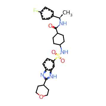 C[C@@H](NC(=O)C1CCC(NS(=O)(=O)c2ccc3nc(C4CCOCC4)[nH]c3c2)CC1)c1ccc(F)cc1